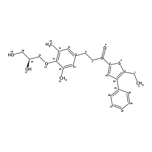 CCc1sc(C(=O)CCc2cc(C)c(OC[C@@H](O)CO)c(C)c2)cc1-c1ccccc1